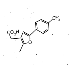 Cc1oc(-c2ccc(C(F)(F)F)cc2)cc1CC(=O)O